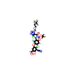 CC(C)(C)OC(=O)N(Cc1ccc(Cl)c(Oc2cc(C#N)cc(CO)c2)c1F)C(=O)c1c(Cl)ncn1COCC[Si](C)(C)C